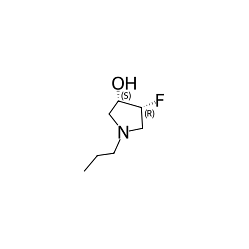 CCCN1C[C@@H](F)[C@@H](O)C1